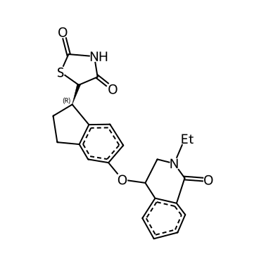 CCN1CC(Oc2ccc3c(c2)CC[C@H]3C2SC(=O)NC2=O)c2ccccc2C1=O